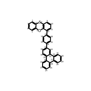 c1ccc2c(c1)Oc1c(cccc1-c1ccc(-c3ccc4c5ccccc5c5ccccc5c4c3)cc1)S2